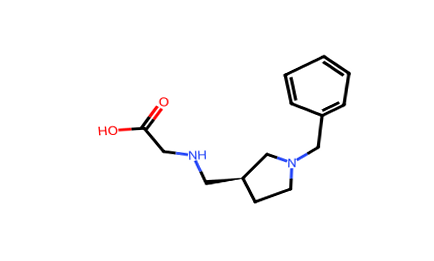 O=C(O)CNC[C@@H]1CCN(Cc2ccccc2)C1